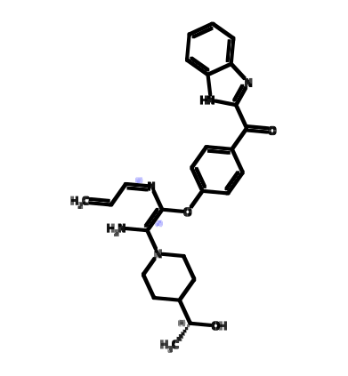 C=C/C=N\C(Oc1ccc(C(=O)c2nc3ccccc3[nH]2)cc1)=C(/N)N1CCC([C@@H](C)O)CC1